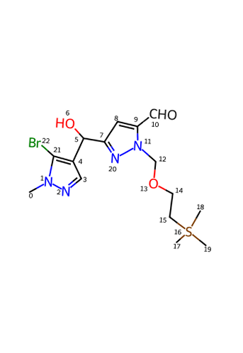 Cn1ncc(C(O)c2cc(C=O)n(COCCS(C)(C)C)n2)c1Br